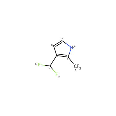 FC(F)C1=C(C(F)(F)F)[N][C]=C1